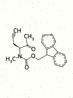 C#CC[C@@H](C(C)=O)N(C)C(=O)OCC1c2ccccc2-c2ccccc21